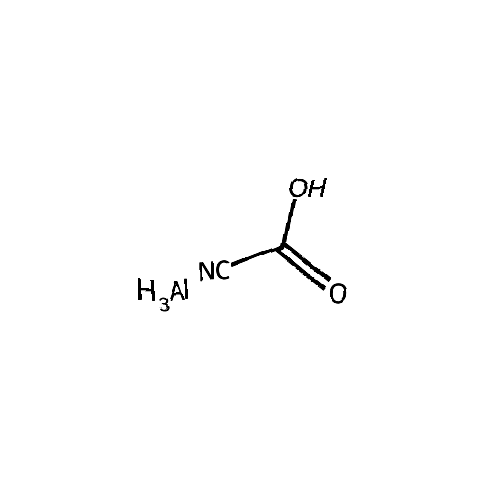 N#CC(=O)O.[AlH3]